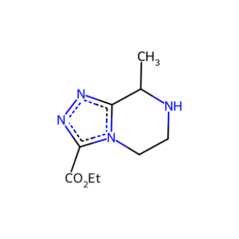 CCOC(=O)c1nnc2n1CCNC2C